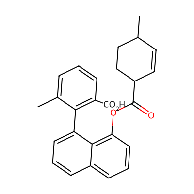 Cc1cccc(C(=O)O)c1-c1cccc2cccc(OC(=O)C3C=CC(C)CC3)c12